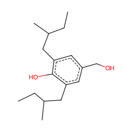 CCC(C)Cc1cc(CO)cc(CC(C)CC)c1O